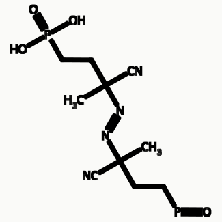 CC(C#N)(CCP=O)N=NC(C)(C#N)CCP(=O)(O)O